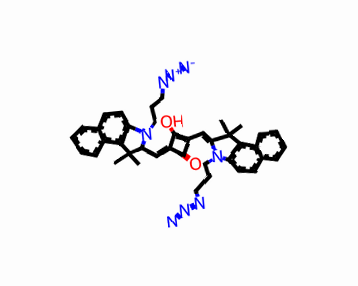 CC1(C)C(=CC2=C(O)C(=CC3N(CCCN=[N+]=[N-])c4ccc5ccccc5c4C3(C)C)C2=O)N(CCCN=[N+]=[N-])c2ccc3ccccc3c21